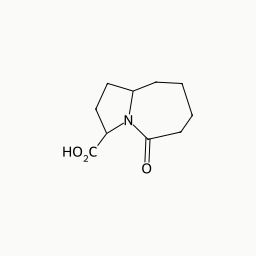 O=C(O)C1CCC2CCCCC(=O)N21